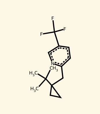 CC(C)(C)C1(Cc2ccc(C(F)(F)F)cn2)CC1